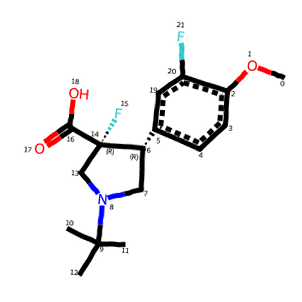 COc1ccc([C@@H]2CN(C(C)(C)C)C[C@@]2(F)C(=O)O)cc1F